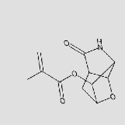 C=C(C)C(=O)OC1C2CC3C(=O)NC1C3O2